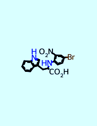 O=C(O)C(Cc1c[nH]c2ccccc12)Nc1ccc(Br)cc1[N+](=O)[O-]